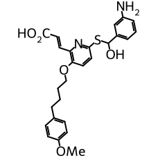 COc1ccc(CCCCOc2ccc(SC(O)c3cccc(N)c3)nc2C=CC(=O)O)cc1